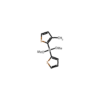 CO[Si](OC)(c1cccs1)c1sccc1C